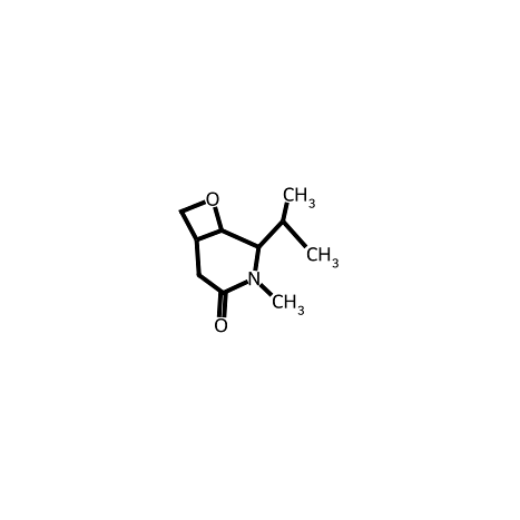 CC(C)C1C2OCC2CC(=O)N1C